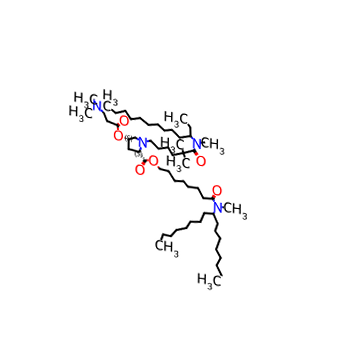 CCCCCCCCCCC(CC)N(C)C(=O)C(C)(C)CCCCN1C[C@@H](OC(=O)CCN(C)C)C[C@H]1C(=O)OCCCCCCCC(=O)N(C)C(CCCCCCCC)CCCCCCCC